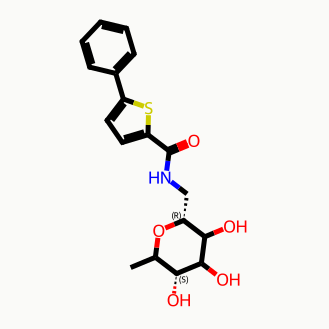 CC1O[C@H](CNC(=O)c2ccc(-c3ccccc3)s2)C(O)C(O)[C@@H]1O